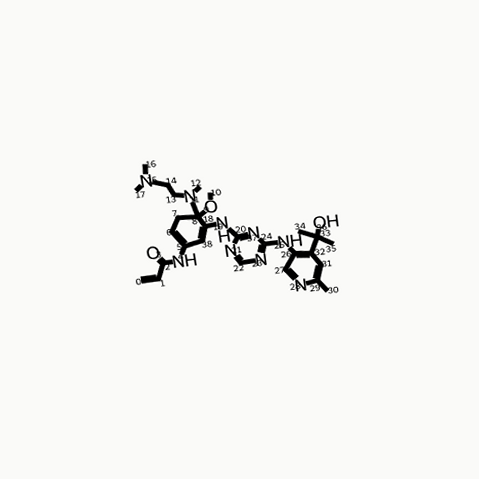 C=CC(=O)NC1=CCC(OC)(N(C)CCN(C)C)C(Nc2ncnc(Nc3cnc(C)cc3C(C)(C)O)n2)=C1